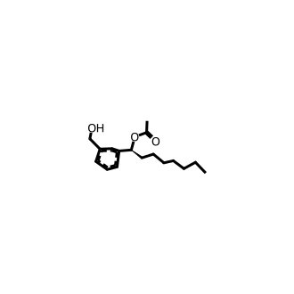 CCCCCCC[C@H](OC(C)=O)c1cccc(CO)c1